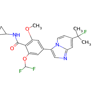 COc1cc(-c2cnc3cc(C(C)(C)F)ccn23)cc(OC(F)F)c1C(=O)NC1CC1